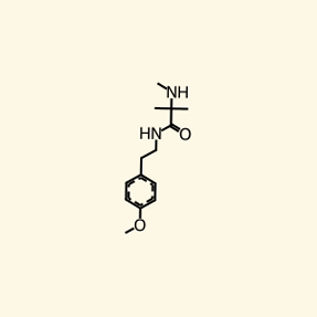 CNC(C)(C)C(=O)NCCc1ccc(OC)cc1